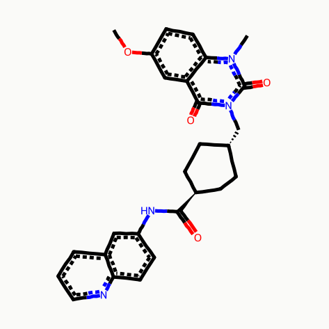 COc1ccc2c(c1)c(=O)n(C[C@H]1CC[C@H](C(=O)Nc3ccc4ncccc4c3)CC1)c(=O)n2C